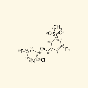 CS(=O)(=O)c1cc(F)cc(COc2cc(F)cnc2Cl)c1